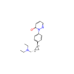 CCN(CC)C[C@H]1C[C@@H]1c1ccc(-n2ncccc2=O)cc1